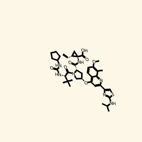 C=C[C@@H]1C[C@]1(NC(=O)[C@@H]1C[C@@H](Oc2cc(-c3csc(NC(C)C)n3)nc3c(C)c(OC)ccc23)CN1C(=O)[C@@H](NC(=O)NC1CCCC1)C(C)(C)C)C(=O)O